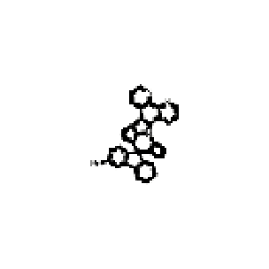 Brc1ccc2c(c1)-c1ccccc1C21c2ccccc2-n2c3c1cccc3c1c3cccnc3c3ncccc3c12